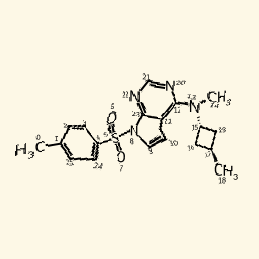 Cc1ccc(S(=O)(=O)n2ccc3c(N(C)[C@H]4C[C@H](C)C4)ncnc32)cc1